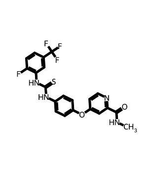 CNC(=O)c1cc(Oc2ccc(NC(=S)Nc3cc(C(F)(F)F)ccc3F)cc2)ccn1